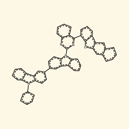 c1ccc(-n2c3ccccc3c3cc(-c4ccc5c(c4)c4ccccc4n5-c4nc(-c5cccc6c5oc5cc7ccccc7cc56)c5ccccc5n4)ccc32)cc1